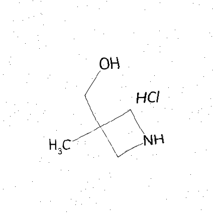 CC1(CO)CNC1.Cl